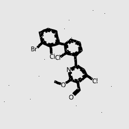 COc1nc(-c2cccc(-c3cccc(Br)c3Cl)c2Cl)cc(Cl)c1C=O